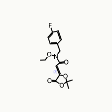 CCON(Cc1ccc(F)cc1)C(=O)/C=C1\OC(C)(C)OC1=O